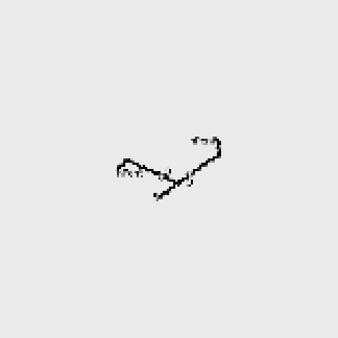 CCCCC/C=C\C/C=C\CCCCCCCCOC(=O)CCN(CCCCCN(C)C)CCC(=O)OCCCCCCCC/C=C\C/C=C\CCCCC